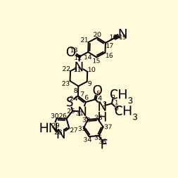 CC(C)NC(=O)C1=C(C2CCN(C(=O)c3ccc(C#N)cc3)CC2)SC(c2cn[nH]c2)N1c1ccc(F)cc1